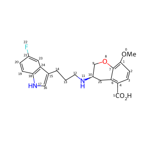 COc1ccc(C(=O)O)c2c1OC[C@H](NCCCc1c[nH]c3ccc(F)cc13)C2